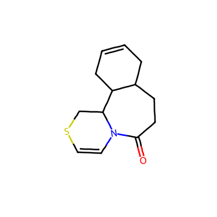 O=C1CCC2CC=CCC2C2CSC=CN12